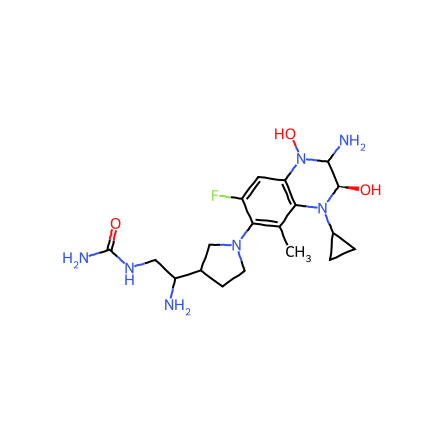 Cc1c(N2CCC(C(N)CNC(N)=O)C2)c(F)cc2c1N(C1CC1)[C@H](O)C(N)N2O